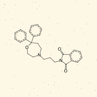 O=C1c2ccccc2C(=O)N1CCCN1CCOC(c2ccccc2)(c2ccccc2)CC1